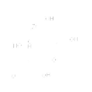 CC(O)C(=O)O.O=C(O)CO.[Zr]